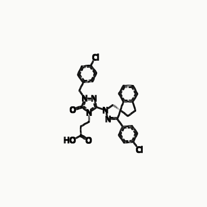 O=C(O)CCn1c(N2C[C@]3(CCc4ccccc43)C(c3ccc(Cl)cc3)=N2)nn(Cc2ccc(Cl)cc2)c1=O